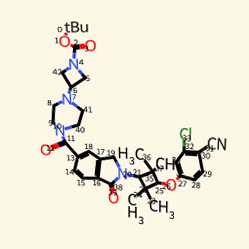 CC(C)(C)OC(=O)N1CC(N2CCN(C(=O)c3ccc4c(c3)CN(C3C(C)(C)C(Oc5ccc(C#N)c(Cl)c5)C3(C)C)C4=O)CC2)C1